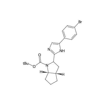 CC(C)(C)OC(=O)N1C(c2ncc(-c3ccc(Br)cc3)[nH]2)C[C@@H]2CCC[C@@H]21